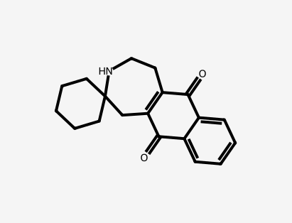 O=C1C2=C(CC3(CCCCC3)NCC2)C(=O)c2ccccc21